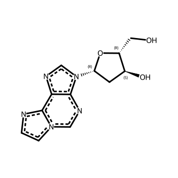 OC[C@H]1O[C@@H](n2cnc3c2ncn2ccnc32)C[C@@H]1O